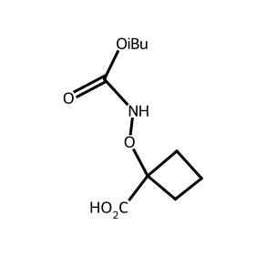 CC(C)COC(=O)NOC1(C(=O)O)CCC1